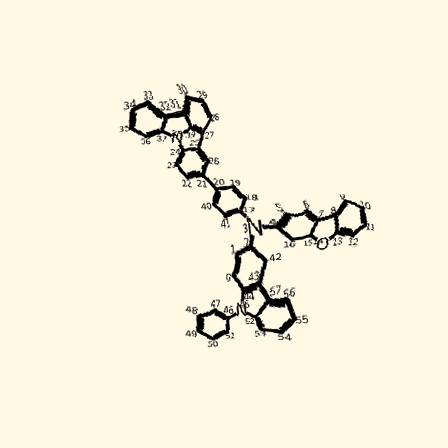 C1=CC(N(C2=CC=C3c4ccccc4OC3C2)c2ccc(-c3ccc4c(c3)c3cccc5c6ccccc6n4c53)cc2)Cc2c1n(-c1ccccc1)c1ccccc21